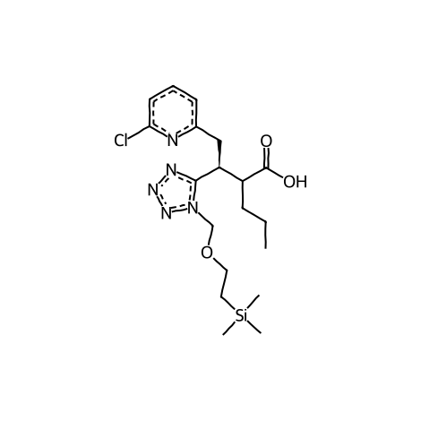 CCCC(C(=O)O)[C@H](Cc1cccc(Cl)n1)c1nnnn1COCC[Si](C)(C)C